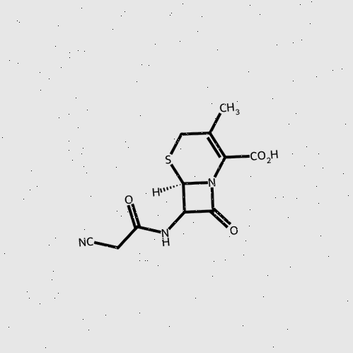 CC1=C(C(=O)O)N2C(=O)C(NC(=O)CC#N)[C@H]2SC1